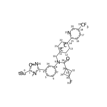 CC(C)(C)c1nc(-c2cccc(N(CC34CCC(c5ccc(C(F)(F)F)cn5)(CC3)CC4)C(=O)C34CC(F)(C3)C4)c2)no1